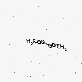 C=Cc1ccc(OCCCCOc2ccc(C=C)cc2)cc1